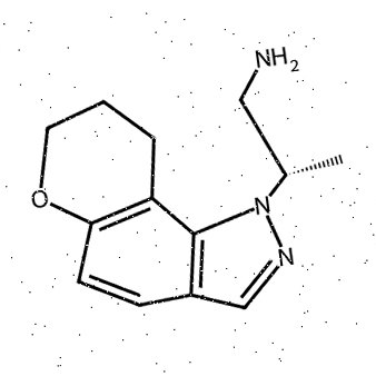 C[C@@H](CN)n1ncc2ccc3c(c21)CCCO3